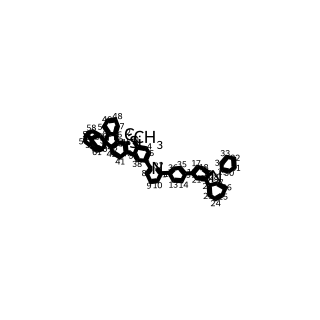 C[Si]1(C)c2ccc(-c3cccc(-c4ccc(-c5ccc6c(c5)c5ccccc5n6-c5ccccc5)cc4)n3)cc2-c2ccc3c(c21)-c1ccccc1C31C2CC3CC(C2)CC1C3